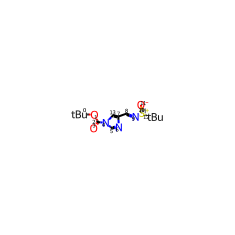 CC(C)(C)OC(=O)n1cnc(C=N[S@@+]([O-])C(C)(C)C)c1